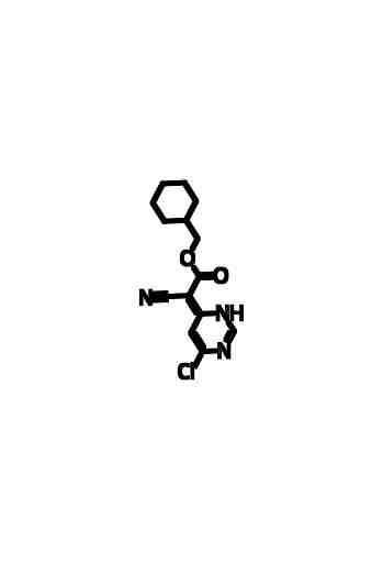 N#CC(C(=O)OCC1CCCCC1)=C1C=C(Cl)N=CN1